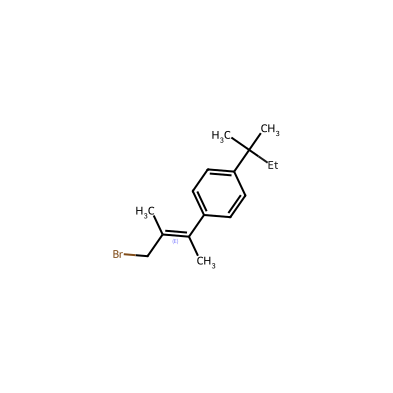 CCC(C)(C)c1ccc(/C(C)=C(\C)CBr)cc1